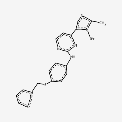 Cc1ncc(-c2ccnc(Nc3ccc(SCc4ccccc4)cc3)n2)n1C(C)C